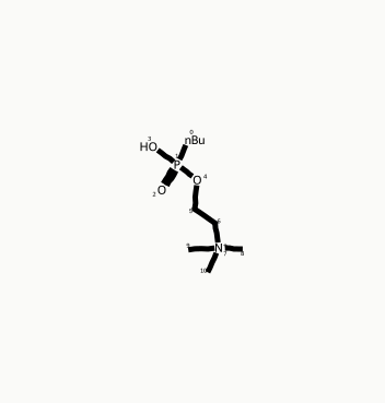 CCCCP(=O)(O)OCC[N+](C)(C)C